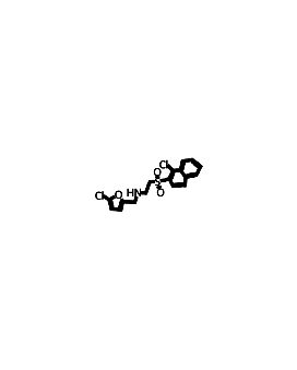 O=S(=O)(CCNCc1ccc(Cl)o1)c1ccc2ccccc2c1Cl